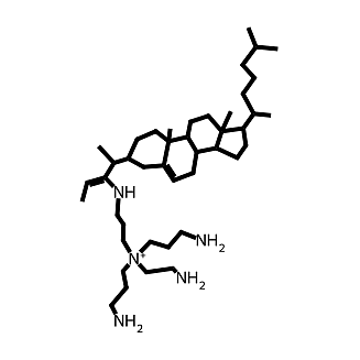 CC=C(NCCC[N+](CCN)(CCCN)CCCN)C(C)C1CCC2(C)C(=CCC3C2CCC2(C)C(C(C)CCCC(C)C)CCC32)C1